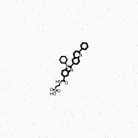 O=C(NCCS(=O)(=O)O)c1ccc2c(c1)nc(-c1ccc3nc(-c4ccccc4)ccc3c1)n2C1CCCCC1